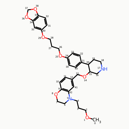 COCCCN1CCOc2ccc(COC3CNCCC3c3ccc(OCCCOc4ccc5c(c4)OCO5)cc3)cc21